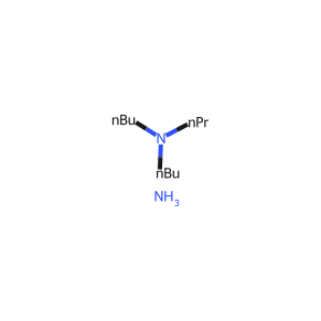 CCCCN(CCC)CCCC.N